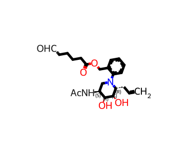 C=CC[C@@H]1[C@H](O)[C@H](O)[C@@H](NC(C)=O)CN1c1ccccc1COC(=O)CCCCC=O